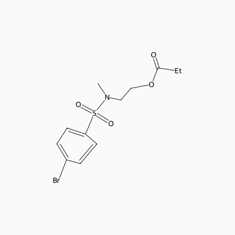 CCC(=O)OCCN(C)S(=O)(=O)c1ccc(Br)cc1